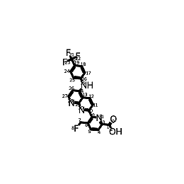 O=C(O)c1ccc(CF)c(-c2ccc3c(Nc4ccc(C(F)(F)F)cc4)ccnc3n2)n1